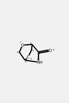 O=C1NC2CCC1OC2